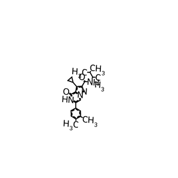 Cc1ccc(-c2cn3nc(C(=O)NC(C)C(C)C)c(C4CC4)c3c(=O)[nH]2)cc1C